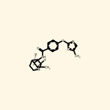 Cc1cnc(Sc2ccc(C(=O)N[C@@H]3C4CCN(CC4)[C@H]3C)cc2)o1